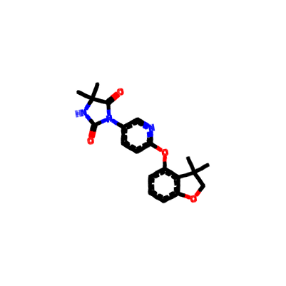 CC1(C)NC(=O)N(c2ccc(Oc3cccc4c3C(C)(C)CO4)nc2)C1=O